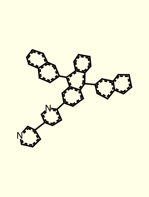 c1cncc(-c2ccc(-c3ccc4c(-c5ccc6ccccc6c5)c5ccccc5c(-c5ccc6ccccc6c5)c4c3)nc2)c1